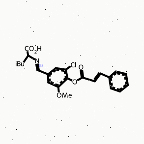 CCC(C)C(/N=C/c1cc(Cl)c(OC(=O)C=Cc2ccccc2)c(OC)c1)C(=O)O